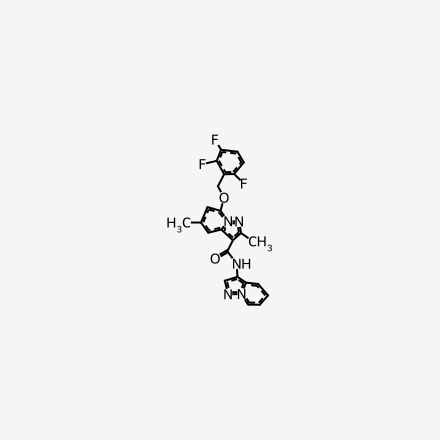 Cc1cc(OCc2c(F)ccc(F)c2F)n2nc(C)c(C(=O)Nc3cnn4ccccc34)c2c1